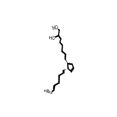 CCCCC=CCCC=C[C@H]1C=CC[C@@H]1CCCCCCC(O)CO